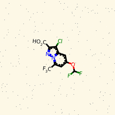 O=C(O)c1nn2c(C(F)(F)F)cc(OC(F)F)cc2c1Cl